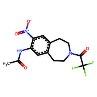 CC(=O)Nc1cc2c(cc1[N+](=O)[O-])CCN(C(=O)C(F)(F)F)CC2